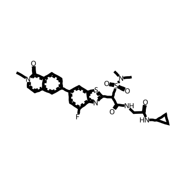 CN(C)S(=O)(=O)C(C(=O)NCC(=O)NC1CC1)c1nc2c(F)cc(-c3ccc4c(=O)n(C)ccc4c3)cc2s1